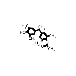 CC(=O)Oc1c(C)cc(C(C)c2cc(C)c(O)c(C)c2)cc1C